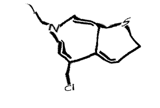 ClC1=CN(I)C=C2SCC=C12